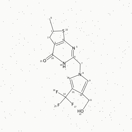 CC1Cc2c(nc(Cn3cc(CO)c(C(F)(F)F)c3)[nH]c2=O)S1